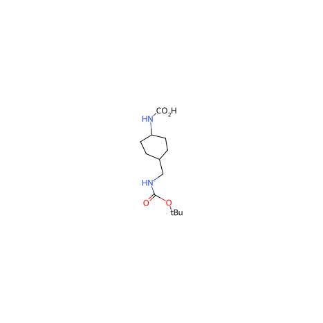 CC(C)(C)OC(=O)NCC1CCC(NC(=O)O)CC1